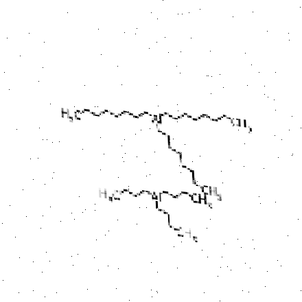 CCCCCCC[CH2][Al]([CH2]CCCCCCC)[CH2]CCCCCCC.CCC[CH2][Al]([CH2]CCC)[CH2]CCC